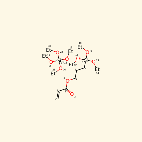 C=CC(=O)OCCC[Si](OCC)(OCC)OCC.CCO[Si](OCC)(OCC)OCC